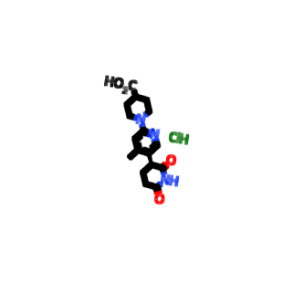 Cc1cc(N2CCC(C(=O)O)CC2)ncc1[C@@H]1CCC(=O)NC1=O.Cl